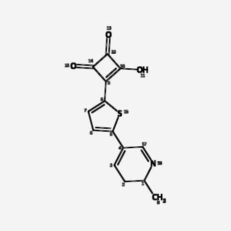 CC1CC=C(c2ccc(-c3c(O)c(=O)c3=O)s2)C=N1